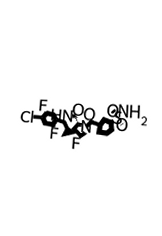 NS(=O)(=O)c1cccc(C(=O)N2C[C@@H](F)C[C@@H]2C(=O)N[C@@H](c2cc(F)c(Cl)cc2F)C2CC2)c1